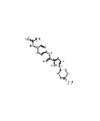 N=C(N)Nc1ccc(OC(=O)c2cnc(N3CCC(C(=O)O)CC3)s2)cc1